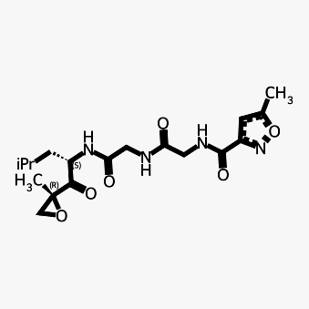 Cc1cc(C(=O)NCC(=O)NCC(=O)N[C@@H](CC(C)C)C(=O)[C@@]2(C)CO2)no1